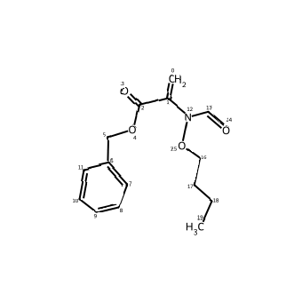 C=C(C(=O)OCc1ccccc1)N(C=O)OCCCC